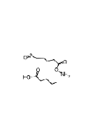 CCCCC(=O)O.NOC(=O)CCCCP=O